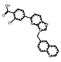 O=C(O)c1ccc(-c2ccc3ncn(Cc4ccc5ncccc5c4)c3n2)cc1Cl